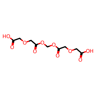 O=C(O)COCC(=O)OCOC(=O)COCC(=O)O